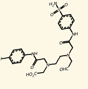 NS(=O)(=O)c1ccc(NC(=O)CN(CC=O)CCN(CC(=O)O)CC(=O)Nc2ccc(I)cc2)cc1